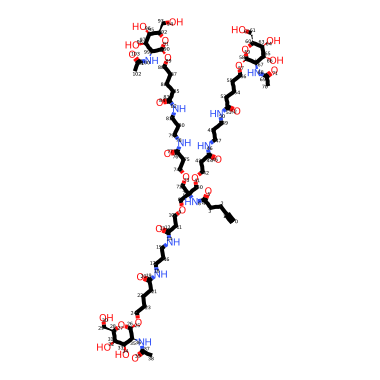 C#CCCC(=O)NC(COCCC(=O)NCCCNC(=O)CCCCO[C@@H]1O[C@H](CO)[C@H](O)[C@H](O)[C@H]1NC(C)=O)(COCCC(=O)NCCCNC(=O)CCCCO[C@@H]1O[C@H](CO)[C@H](O)[C@H](O)[C@H]1NC(C)=O)COCCC(=O)NCCCNC(=O)CCCCO[C@@H]1O[C@H](CO)[C@H](O)[C@H](O)[C@H]1NC(C)=O